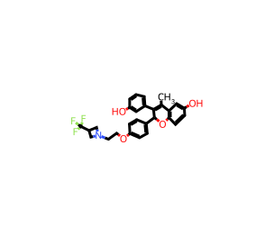 CC1=C(c2cccc(O)c2)C(c2ccc(OCCN3CC(C(F)(F)F)C3)cc2)Oc2ccc(O)cc21